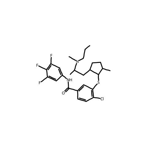 CCCN(C)C(C)CC1CCC(C)C1Sc1cc(C(=O)Nc2cc(F)c(F)c(F)c2)ccc1Cl